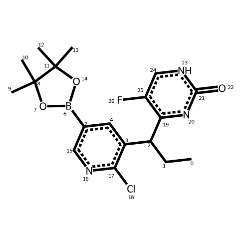 CCC(c1cc(B2OC(C)(C)C(C)(C)O2)cnc1Cl)c1nc(=O)[nH]cc1F